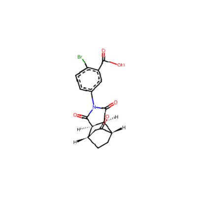 O=C(O)c1cc(N2C(=O)[C@@H]3[C@H]4CC[C@H](C(=O)C4)[C@@H]3C2=O)ccc1Br